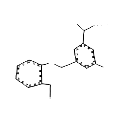 CNC(c1cc(Cl)cc(COc2ccccc2CC(=O)O)c1)C(F)(F)F